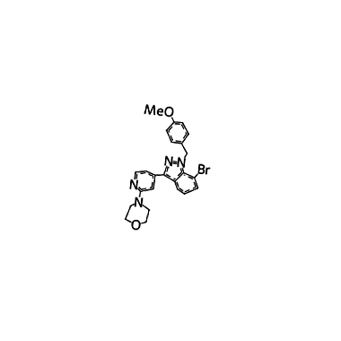 COc1ccc(Cn2nc(-c3ccnc(N4CCOCC4)c3)c3cccc(Br)c32)cc1